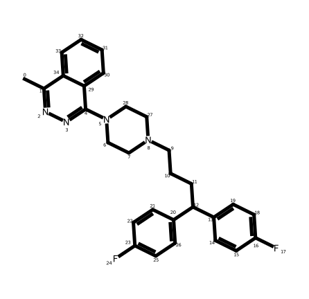 Cc1nnc(N2CCN(CCCC(c3ccc(F)cc3)c3ccc(F)cc3)CC2)c2ccccc12